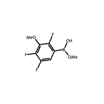 COB(O)c1cc(F)c(F)c(OC)c1F